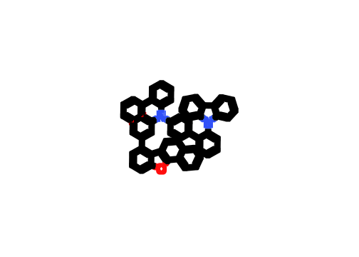 c1ccc(-c2ccccc2N(c2ccc(-c3ccccc3-n3c4ccccc4c4ccccc43)cc2)c2cccc(-c3cccc4oc5c6ccccc6ccc5c34)c2)cc1